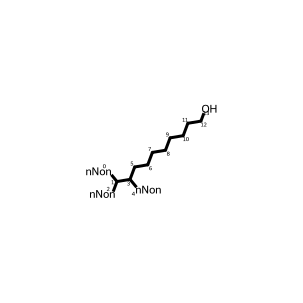 CCCCCCCCCC(CCCCCCCCC)C(CCCCCCCCC)CCCCCCCCO